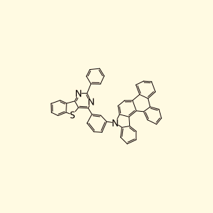 c1ccc(-c2nc(-c3cccc(-n4c5ccccc5c5c6c7ccccc7c7ccccc7c6ccc54)c3)c3sc4ccccc4c3n2)cc1